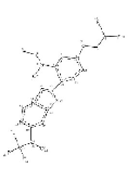 CC[S+]([O-])c1cc(OCC(F)F)cnc1-c1cn2cnc([S+]([O-])C(F)(F)F)cc2n1